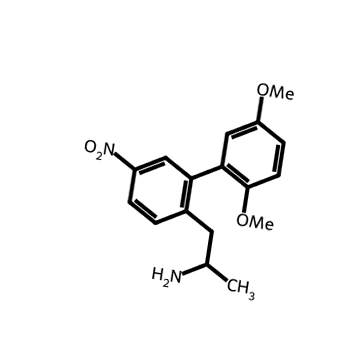 COc1ccc(OC)c(-c2cc([N+](=O)[O-])ccc2CC(C)N)c1